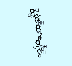 CN1CN(c2c(Cl)cccc2Cl)C(=O)c2cnc(Nc3ccc4c(c3)CN(CC3CN(c5ccc6c(c5)C(O)N(C5CCC(=O)NC5=O)C6=O)C3)CC4)nc21